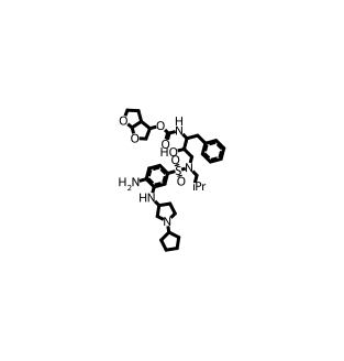 CC(C)CN(CC(O)C(Cc1ccccc1)NC(=O)OC1COC2OCCC12)S(=O)(=O)c1ccc(N)c(NC2CCN(C3CCCC3)C2)c1